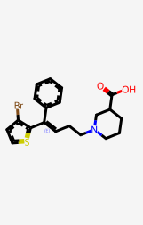 O=C(O)C1CCCN(CC/C=C(\c2ccccc2)c2sccc2Br)C1